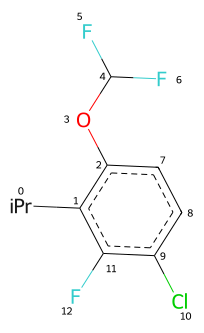 CC(C)c1c(OC(F)F)ccc(Cl)c1F